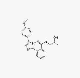 COc1ccc(-c2nnc3c4ccccc4c(N(C)CC(C)O)nn23)cc1